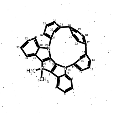 C[Si]1(C)c2c3ccccc3n3c4cccc(c4)c4ccc(cc4)c4cccc(c4)n4c5ccccc5c1c4c23